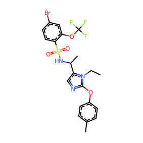 CCn1c(C(C)NS(=O)(=O)c2ccc(Br)cc2OC(F)(F)F)cnc1Oc1ccc(C)cc1